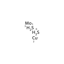 S.S.[Cu].[Mo]